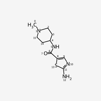 CN1CCC(NC(=O)c2cnc(N)s2)CC1